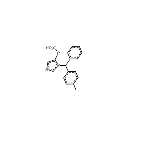 Cc1ccc(C(c2ccccc2)n2cncc2OC(=O)O)cc1